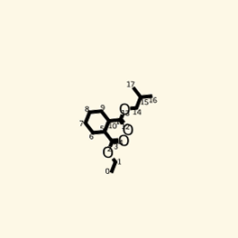 CCOC(=O)C1CCCCC1C(=O)OCC(C)C